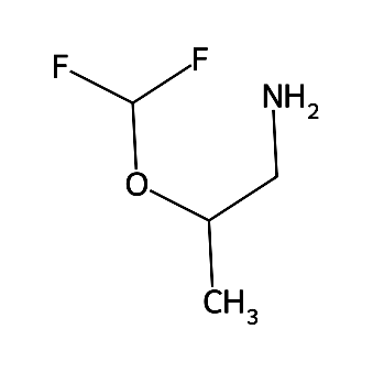 CC(CN)OC(F)F